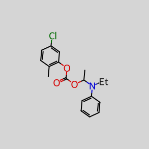 CCN(c1ccccc1)C(C)OC(=O)Oc1cc(Cl)ccc1C